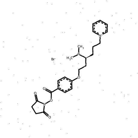 CN(C)[C@@H](CCC[n+]1ccccc1)CCOc1ccc(C(=O)ON2C(=O)CCC2=O)cc1.[Br-]